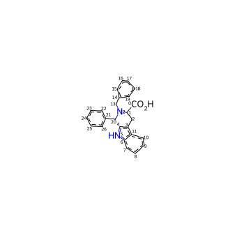 O=C(O)C(Cc1c[nH]c2ccccc12)N(Cc1ccccc1)Cc1ccccc1